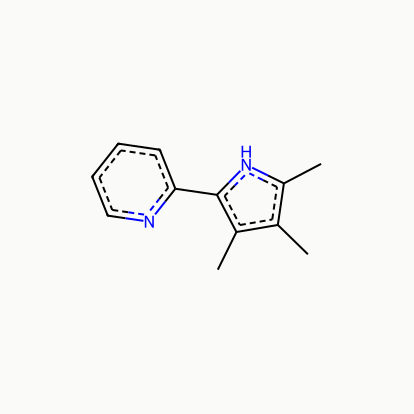 Cc1[nH]c(-c2ccccn2)c(C)c1C